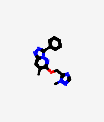 Cc1cc2nnc(-c3ccccc3)n2nc1OCc1ncnn1C